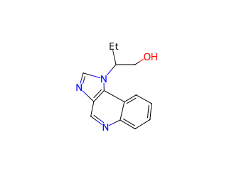 CCC(CO)n1cnc2cnc3ccccc3c21